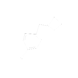 O=[N+]([O-])c1ccc(CN2CCC2)cc1